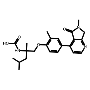 Cc1cc(-c2ccnc3c2C(=O)N(C)C3)ccc1OCC(C)(CC(C)C)NC(=O)O